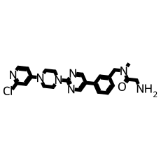 CN(Cc1cccc(-c2cnc(N3CCN(c4ccnc(Cl)c4)CC3)nc2)c1)C(=O)CN